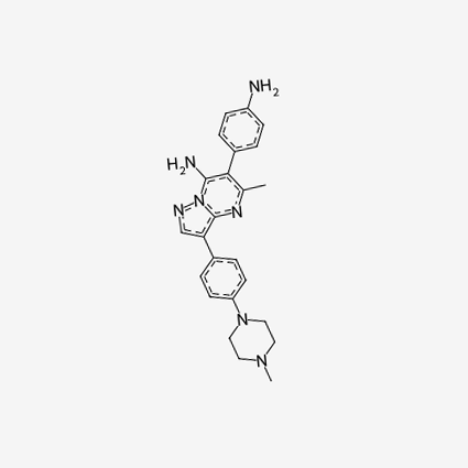 Cc1nc2c(-c3ccc(N4CCN(C)CC4)cc3)cnn2c(N)c1-c1ccc(N)cc1